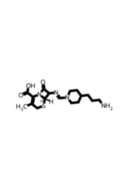 CC1=C(C(=O)O)N2C(=O)C(N=CN3CCC(CCCN)CC3)[C@@H]2SC1